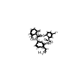 COc1ccc(F)cc1S(=O)(=O)Nc1cc(NC(=O)c2c(F)cccc2Cl)ccc1CN